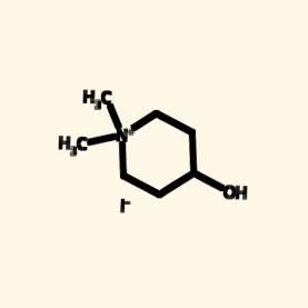 C[N+]1(C)CCC(O)CC1.[I-]